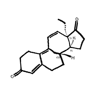 CC[C@@]12C=CC3=C4CCC(=O)C=C4CC[C@H]3[C@@H]1CCC2=O